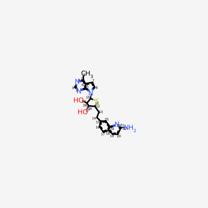 Cc1ncnc2c1ccn2C1SC(CCc2ccc3ccc(N)nc3c2)C(O)C1O